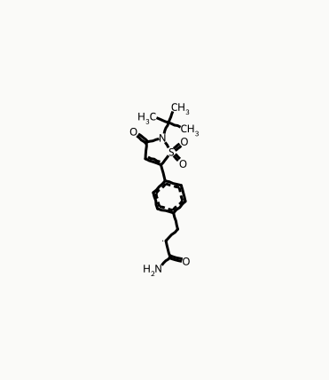 CC(C)(C)N1C(=O)C=C(c2ccc(C[CH]C(N)=O)cc2)S1(=O)=O